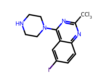 ClC(Cl)(Cl)c1nc(N2CCNCC2)c2cc(I)ccc2n1